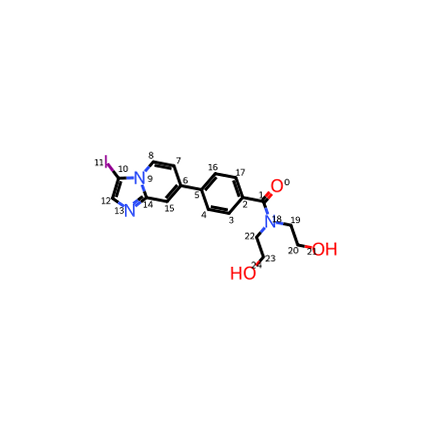 O=C(c1ccc(-c2ccn3c(I)cnc3c2)cc1)N(CCO)CCO